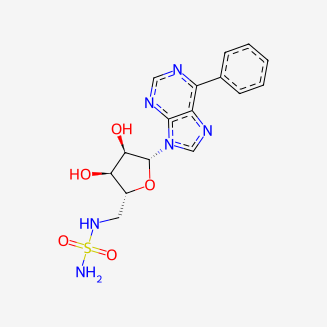 NS(=O)(=O)NC[C@H]1O[C@@H](n2cnc3c(-c4ccccc4)ncnc32)[C@H](O)[C@@H]1O